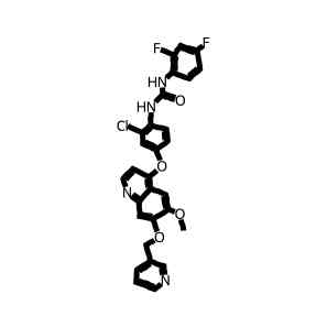 COc1cc2c(Oc3ccc(NC(=O)Nc4ccc(F)cc4F)c(Cl)c3)ccnc2cc1OCc1cccnc1